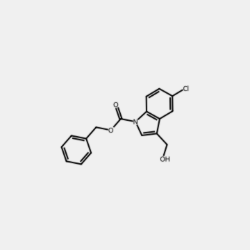 O=C(OCc1ccccc1)n1cc(CO)c2cc(Cl)ccc21